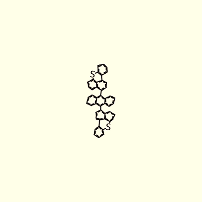 c1ccc2c(c1)Sc1cccc3c(-c4c5ccccc5c(-c5ccc6c7c(cccc57)Sc5ccccc5-6)c5ccccc45)ccc-2c13